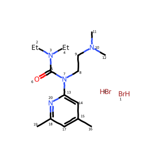 Br.Br.CCN(CC)C(=O)N(CCN(C)C)c1cc(C)cc(C)n1